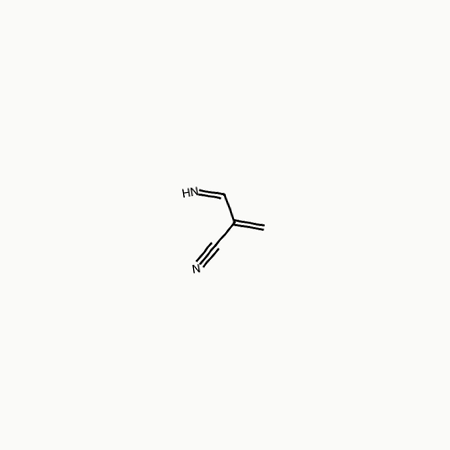 C=C(C#N)C=N